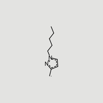 [CH2]c1ccn(CCCCC)n1